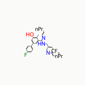 C\C=C(/C=N\C(=C\CCC)C(F)(F)F)CN/C(=N/C=C/CCC)c1cc(-c2ccc(F)cc2)cc(O)c1C